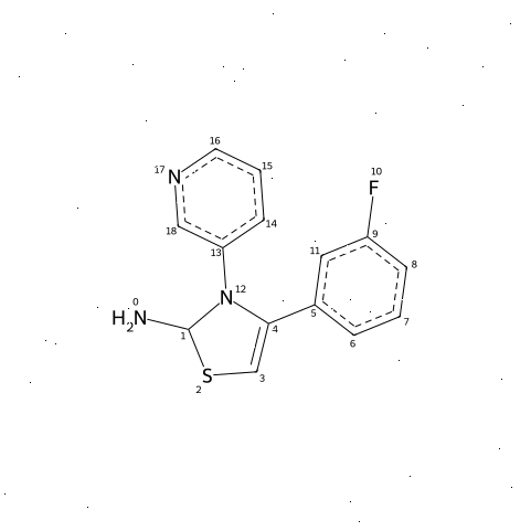 NC1SC=C(c2cccc(F)c2)N1c1cccnc1